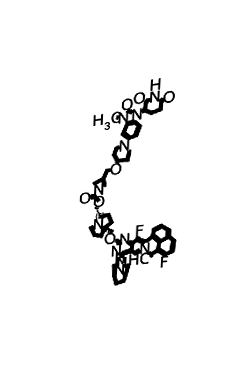 C#Cc1c(F)ccc2cccc(-c3ncc4c(N5CC6CCC(C5)N6)nc(OC[C@@]56CCCN5[C@H](COC(=O)N5CC(COC7CCN(c8ccc9c(c8)n(C)c(=O)n9C8CCC(=O)NC8=O)CC7)C5)CC6)nc4c3F)c12